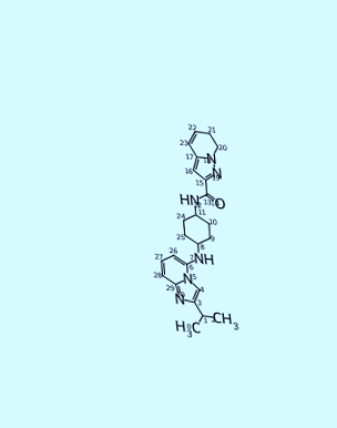 CC(C)c1cn2c(NC3CCC(NC(=O)c4cc5n(n4)CCC=C5)CC3)cccc2n1